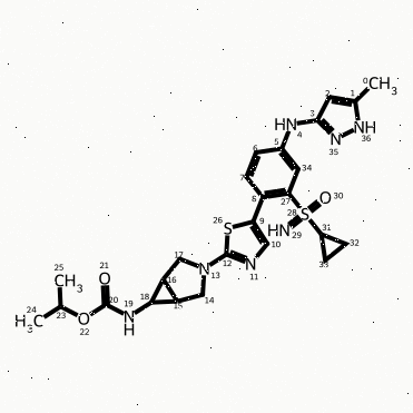 Cc1cc(Nc2ccc(-c3cnc(N4CC5C(C4)C5NC(=O)OC(C)C)s3)c(S(=N)(=O)C3CC3)c2)n[nH]1